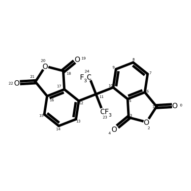 O=C1OC(=O)c2c1cccc2C(c1cccc2c1C(=O)OC2=O)(C(F)(F)F)C(F)(F)F